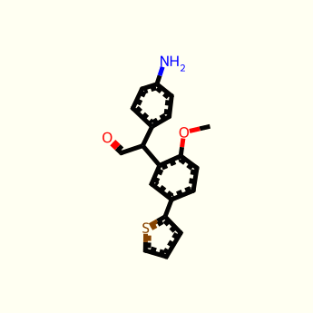 COc1ccc(-c2cccs2)cc1C(C=O)c1ccc(N)cc1